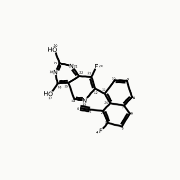 C#Cc1c(F)ccc2cccc(-c3ncc4c(O)nc(O)nc4c3F)c12